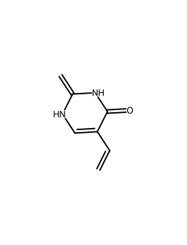 C=CC1=CNC(=C)NC1=O